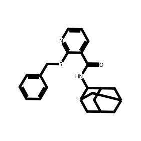 O=C(NC1C2CC3CC(C2)CC1C3)c1cccnc1SCc1ccccc1